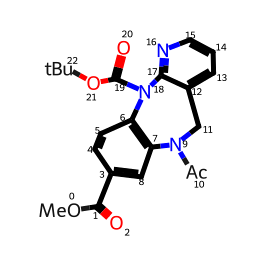 COC(=O)c1ccc2c(c1)N(C(C)=O)Cc1cccnc1N2C(=O)OC(C)(C)C